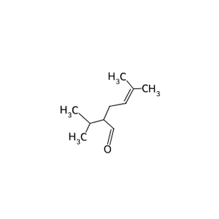 CC(C)=CCC(C=O)C(C)C